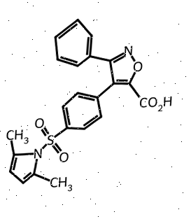 Cc1ccc(C)n1S(=O)(=O)c1ccc(-c2c(-c3ccccc3)noc2C(=O)O)cc1